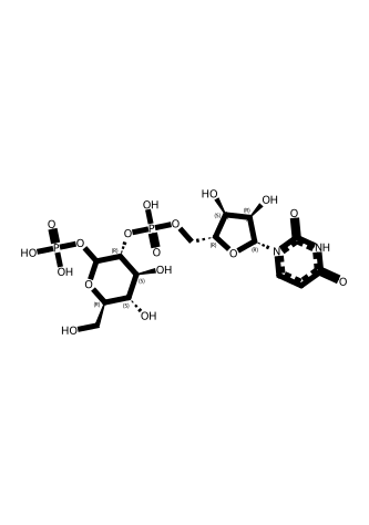 O=c1ccn([C@@H]2O[C@H](COP(=O)(O)O[C@H]3C(OP(=O)(O)O)O[C@H](CO)[C@@H](O)[C@@H]3O)[C@@H](O)[C@H]2O)c(=O)[nH]1